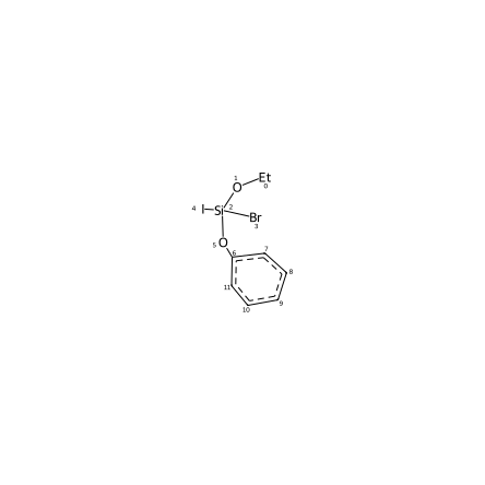 CCO[Si](Br)(I)Oc1ccccc1